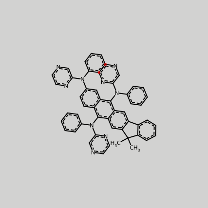 CC1(C)c2ccccc2-c2cc3c(N(c4ccccc4)c4cnccn4)c4cc(N(c5ccccc5)c5cnccn5)ccc4c(N(c4ccccc4)c4cnccn4)c3cc21